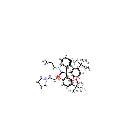 CCCN1C(=O)C(c2cc(C(C)(C)C)ccc2O)(c2cc(C(C)(C)C)ccc2OCCN2CCCC2)c2ccccc21